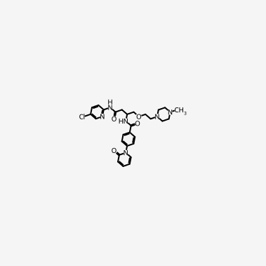 CN1CCN(CCOCC(CC(=O)Nc2ccc(Cl)cn2)NC(=O)c2ccc(-n3ccccc3=O)cc2)CC1